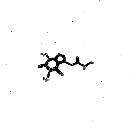 Cn1c(=O)c2c(ncn2CC(=O)NC(C)(C)C)n(C)c1=O